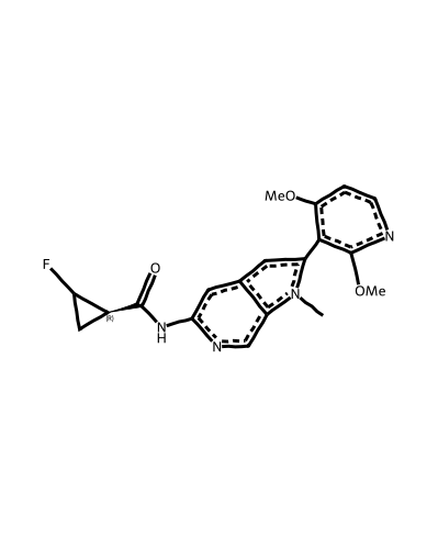 COc1ccnc(OC)c1-c1cc2cc(NC(=O)[C@H]3CC3F)ncc2n1C